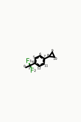 CC(F)(F)c1ccc(C2CC2)cc1